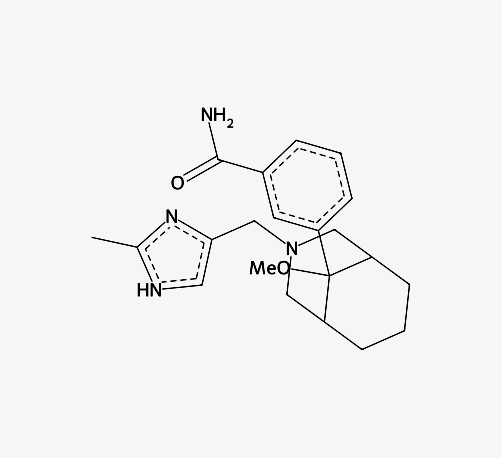 COC1(c2cccc(C(N)=O)c2)C2CCCC1CN(Cc1c[nH]c(C)n1)C2